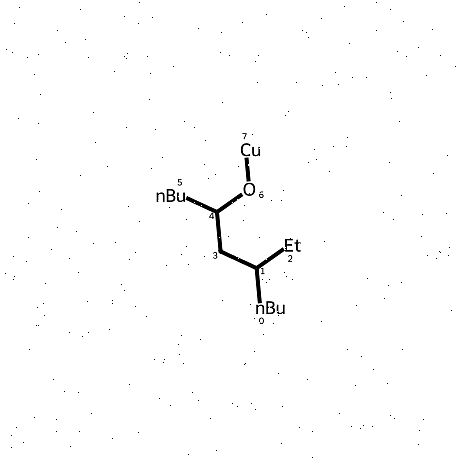 CCCCC(CC)CC(CCCC)[O][Cu]